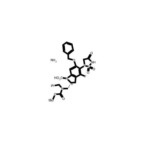 CC(C)CN(C[C@H]1Cc2c(cc(OCc3ccccc3)c(N3CC(=O)NS3(=O)=O)c2F)N1C(=O)O)C(=O)OC(C)(C)C.N